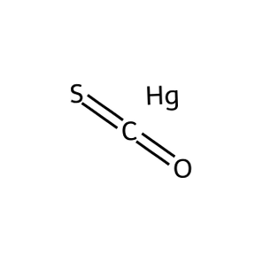 O=C=S.[Hg]